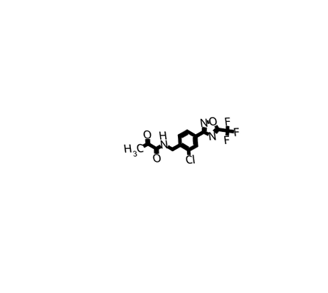 CC(=O)C(=O)NCc1ccc(-c2noc(C(F)(F)F)n2)cc1Cl